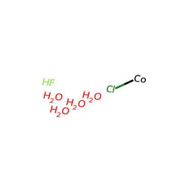 F.O.O.O.O.[Cl][Co]